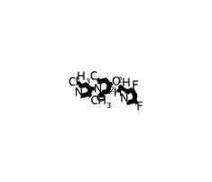 [2H]C([2H])(Oc1cc(C)n(-c2cc(Cl)ncc2C)c(=O)c1)c1ncc(F)cc1F